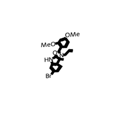 C=CCN(Cc1ccc(OC)cc1OC)C1(C)C(=O)Nc2cc(Br)ccc21